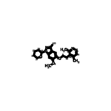 COc1cc2c(cc1OCCc1c(C)cnnc1C)c(I)nn2C1CCCCO1